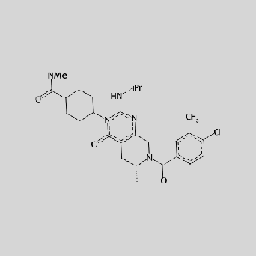 CNC(=O)C1CCC(n2c(NC(C)C)nc3c(c2=O)C[C@@H](C)N(C(=O)c2ccc(Cl)c(C(F)(F)F)c2)C3)CC1